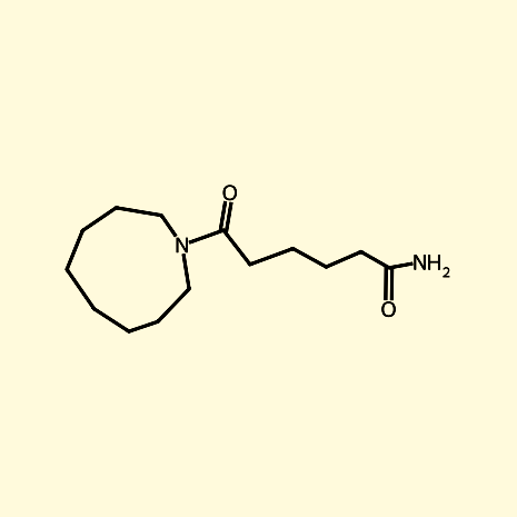 NC(=O)CCCCC(=O)N1CCCCCCCC1